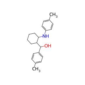 Cc1ccc(NC2CCCCC2C(O)c2ccc(C)cc2)cc1